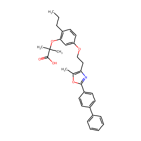 CCCc1ccc(OCCc2nc(-c3ccc(-c4ccccc4)cc3)oc2C)cc1OC(C)(C)C(=O)O